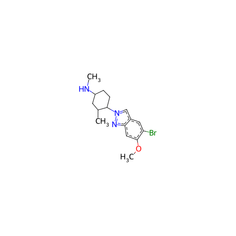 CNC1CCC(n2cc3cc(Br)c(OC)cc3n2)C(C)C1